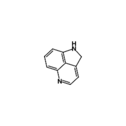 c1cc2c3c(ccnc3c1)CN2